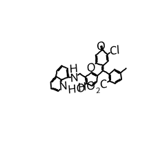 Cc1ccc(C(=O)O)c(-c2c3cc(Cl)c(=O)cc-3oc3c(CNc4cccc5cccnc45)c(O)ccc23)c1